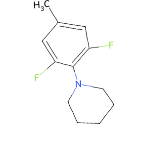 Cc1cc(F)c(N2CCCCC2)c(F)c1